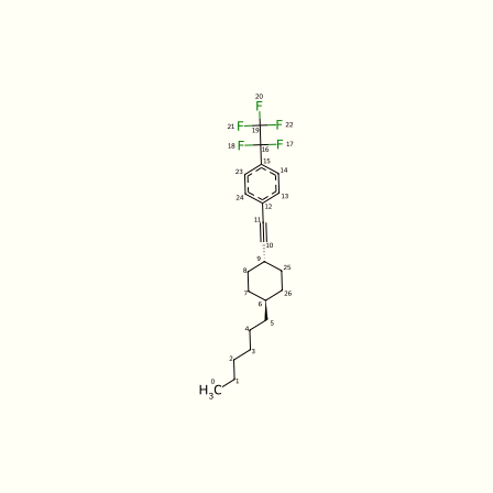 CCCCCC[C@H]1CC[C@H](C#Cc2ccc(C(F)(F)C(F)(F)F)cc2)CC1